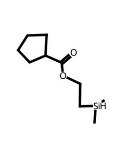 C[SiH](C)CCOC(=O)C1CCCC1